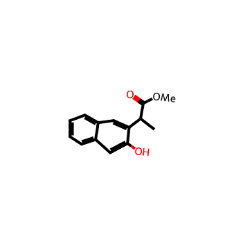 COC(=O)C(C)c1cc2ccccc2cc1O